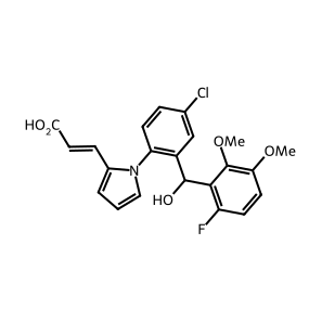 COc1ccc(F)c(C(O)c2cc(Cl)ccc2-n2cccc2C=CC(=O)O)c1OC